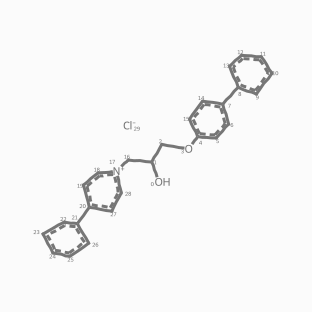 OC(COc1ccc(-c2ccccc2)cc1)C[n+]1ccc(-c2ccccc2)cc1.[Cl-]